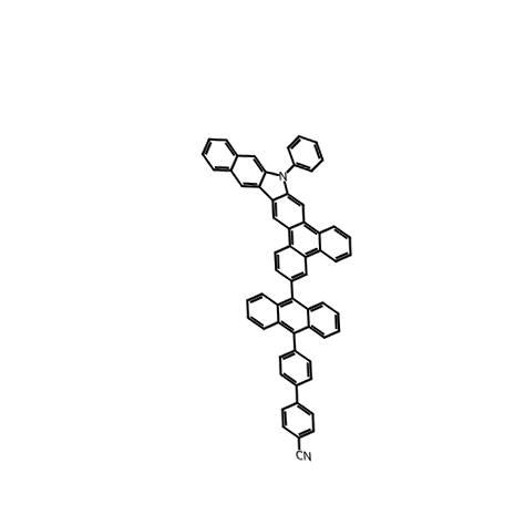 N#Cc1ccc(-c2ccc(-c3c4ccccc4c(-c4ccc5c(c4)c4ccccc4c4cc6c(cc54)c4cc5ccccc5cc4n6-c4ccccc4)c4ccccc34)cc2)cc1